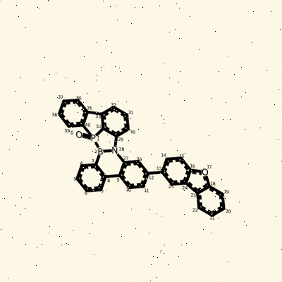 O=P12B3c4ccccc4-c4ccc(-c5ccc6oc7ccccc7c6c5)cc4N3c3cccc(c31)-c1ccccc12